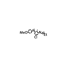 CCN(C)C=Nc1cc(Cl)cc(N(C)c2ccc(OC)cc2)c1C